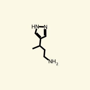 CC(CCN)c1cn[nH]c1